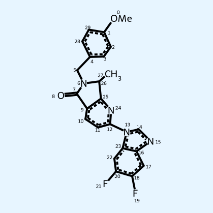 COc1ccc(CN2C(=O)c3ccc(-n4cnc5cc(F)c(F)cc54)nc3C2C)cc1